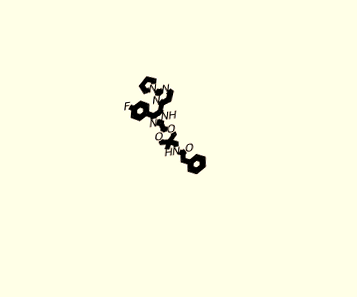 CC1(CNC(=O)Cc2ccccc2)COC(c2nc(-c3ccc(F)cc3)c(-c3ccnc(N4CCCC4)n3)[nH]2)OC1